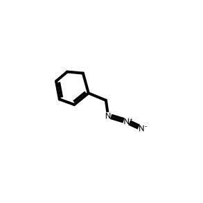 [N-]=[N+]=NCC1=CC=CCC1